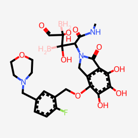 BC(O)(C=O)C(B)(O)C(C(=O)NC)N1Cc2c(OCc3cc(CN4CCOCC4)ccc3F)c(O)c(O)c(O)c2C1=O